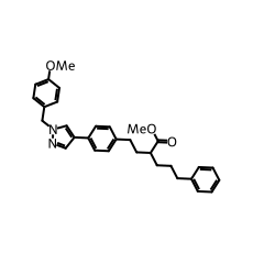 COC(=O)C(CCCc1ccccc1)CCc1ccc(-c2cnn(Cc3ccc(OC)cc3)c2)cc1